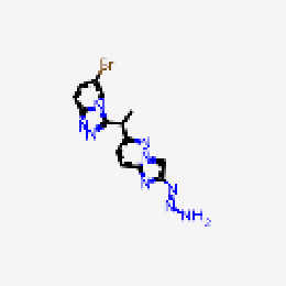 CC(c1ccc2nc(N=NN)cn2n1)c1nnc2ccc(Br)cn12